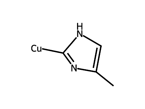 Cc1c[nH][c]([Cu])n1